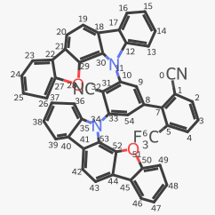 N#Cc1cccc(C(F)(F)F)c1-c1cc(-n2c3ccccc3c3ccc4c5ccccc5oc4c32)c(C#N)c(-n2c3ccccc3c3ccc4c5ccccc5oc4c32)c1